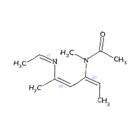 C\C=N/C(C)=C\C(=C/C)N(C)C(C)=O